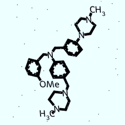 COc1cccc(CN(Cc2cccc(N3CCN(C)CC3)c2)c2ccc(CN3CCN(C)CC3)cc2)c1